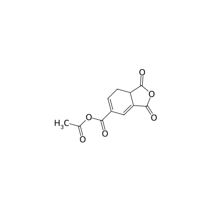 CC(=O)OC(=O)C1=CCC2C(=O)OC(=O)C2=C1